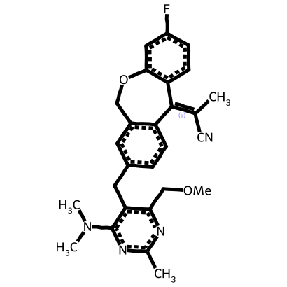 COCc1nc(C)nc(N(C)C)c1Cc1ccc2c(c1)COc1cc(F)ccc1/C2=C(\C)C#N